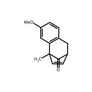 COc1ccc2c(c1)C1(C)C=CC(C2)C1=O